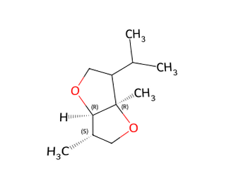 CC(C)C1CO[C@@H]2[C@@H](C)CO[C@]12C